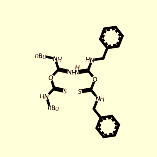 CCCCNC(=N)OC(=S)NCCCC.N=C(NCc1ccccc1)OC(=S)NCc1ccccc1